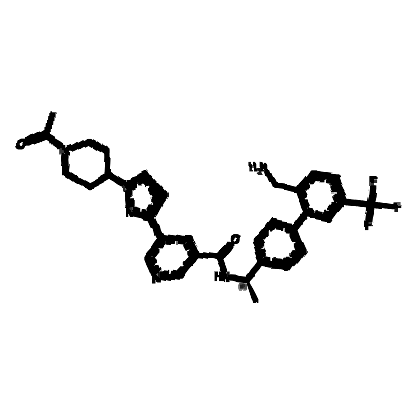 CC(=O)N1CCC(n2ccc(-c3cncc(C(=O)N[C@H](C)c4ccc(-c5cc(C(F)(F)F)ccc5CN)cc4)c3)n2)CC1